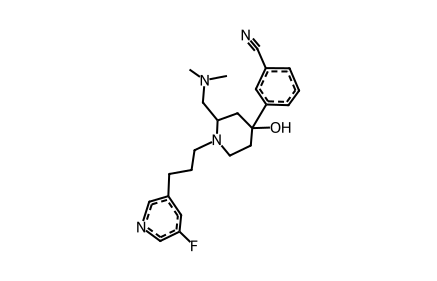 CN(C)CC1CC(O)(c2cccc(C#N)c2)CCN1CCCc1cncc(F)c1